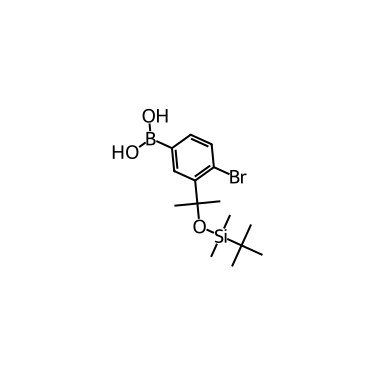 CC(C)(O[Si](C)(C)C(C)(C)C)c1cc(B(O)O)ccc1Br